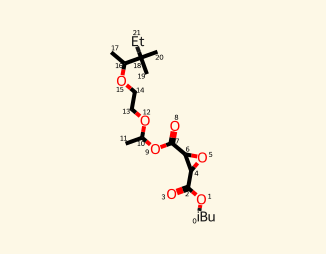 CCC(C)OC(=O)C1OC1C(=O)OC(C)OCCOC(C)C(C)(C)CC